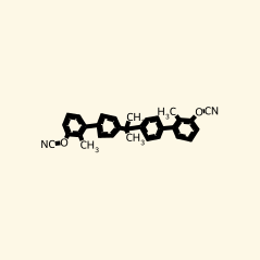 Cc1c(OC#N)cccc1-c1ccc(C(C)(C)c2ccc(-c3cccc(OC#N)c3C)cc2)cc1